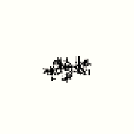 CC(CO[Si](C)(C)C(C)(C)C)N(CC(=O)NC(CCN(C)C)c1cccc(Cl)c1F)C(=O)Cn1nc(C(N)=O)c2cc(NC(=O)OC(C)(C)C)ccc21